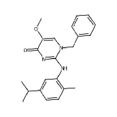 COc1cn(Cc2ccccc2)c(Nc2cc(C(C)C)ccc2C)nc1=O